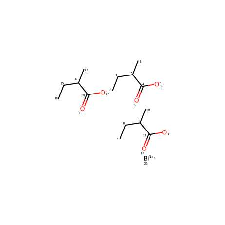 CCC(C)C(=O)[O-].CCC(C)C(=O)[O-].CCC(C)C(=O)[O-].[Bi+3]